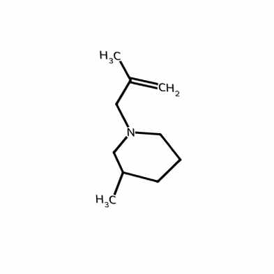 C=C(C)CN1CCCC(C)C1